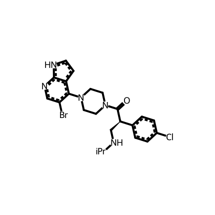 CC(C)NC[C@@H](C(=O)N1CCN(c2c(Br)cnc3[nH]ccc23)CC1)c1ccc(Cl)cc1